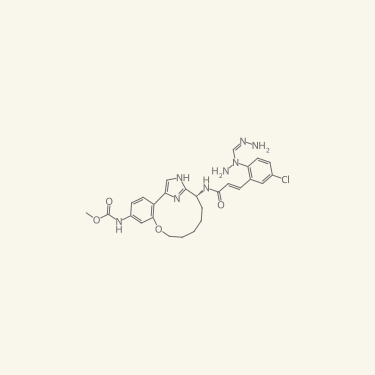 COC(=O)Nc1ccc2c(c1)OCCCCC[C@H](NC(=O)/C=C/c1cc(Cl)ccc1N(N)/C=N\N)c1nc-2c[nH]1